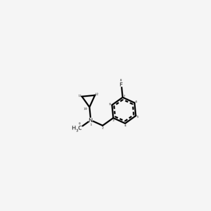 CN(Cc1cccc(F)c1)C1CC1